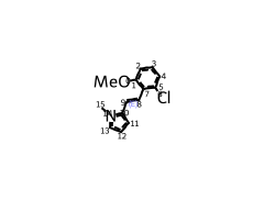 COc1cccc(Cl)c1/C=C/c1cccn1C